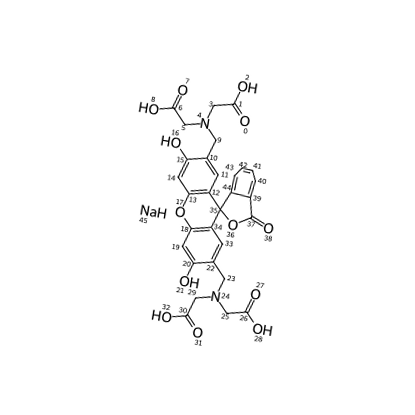 O=C(O)CN(CC(=O)O)Cc1cc2c(cc1O)Oc1cc(O)c(CN(CC(=O)O)CC(=O)O)cc1C21OC(=O)c2ccccc21.[NaH]